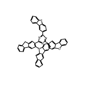 c1ccc2c(c1)Cc1cc(-c3nc(-c4ccc5oc6ccccc6c5c4)nc(-c4ccc5sc6ccccc6c5c4)n3)c(-n3c4ccccc4c4cc5ccccc5cc43)cc1-2